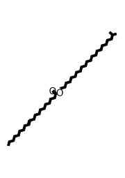 CCCCCCCCC=CCCCCCCCCCC(=O)OCCCCCCCCCCCCCCCCCCCCC(C)C